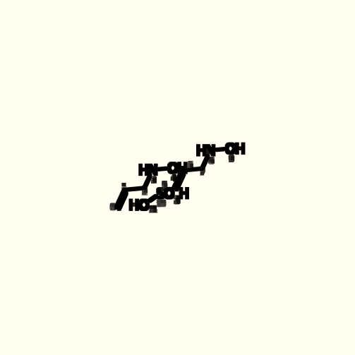 C=CCNO.C=CCNO.O=S(=O)(O)O